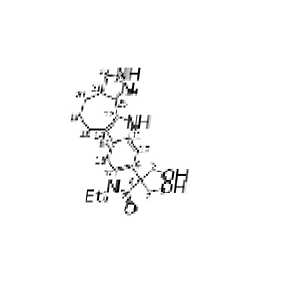 CCN1C(=O)C(CO)(CO)c2cc3[nH]c4c(c3cc21)CCCc1c[nH]nc1-4